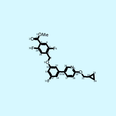 COC(=O)c1cc(F)c(COc2cc(F)cc(-c3ccc(OCC4CC4)nc3)c2)cc1F